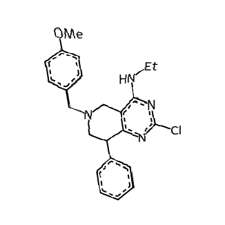 CCNc1nc(Cl)nc2c1CN(Cc1ccc(OC)cc1)CC2c1ccccc1